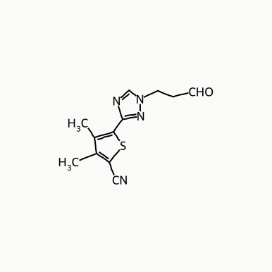 Cc1c(C#N)sc(-c2ncn(CCC=O)n2)c1C